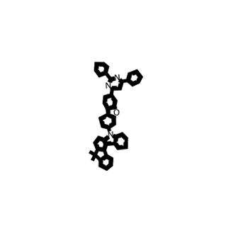 CC1(C)c2ccccc2-c2c1ccc1c2c2ccccc2n1-c1ccc2c(c1)oc1cc(-c3cc(-c4ccccc4)nc(-c4ccccc4)n3)ccc12